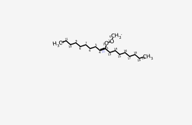 [CH2]OO/C(=C\CCCCCCCC)CCCCCCCC